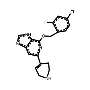 Fc1cc(Cl)ccc1COc1nc(C2=CCNCC2)cc2nc[nH]c12